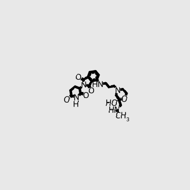 CNC[C@]1(O)CN(CCCNc2cccc3c2C(=O)N(C2CCC(=O)NC2=O)C3=O)CCO1